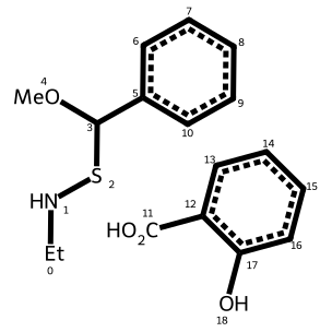 CCNSC(OC)c1ccccc1.O=C(O)c1ccccc1O